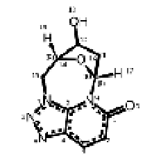 O=c1ccc2nnn3c2n1[C@H]1CC(O)[C@@H](C3)O1